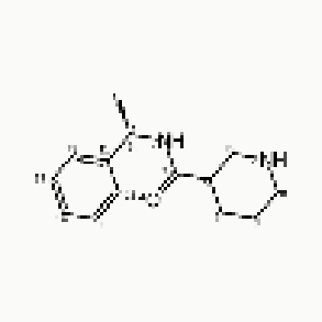 C[C@@H](NC(=O)C1CCCNC1)c1ccccc1